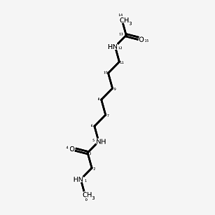 CNCC(=O)NCCCCCCNC(C)=O